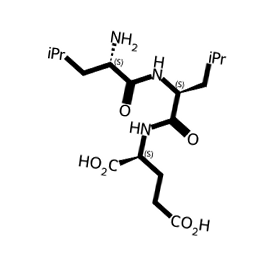 CC(C)C[C@H](NC(=O)[C@@H](N)CC(C)C)C(=O)N[C@@H](CCC(=O)O)C(=O)O